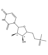 C=C1NC(=O)C=CN1C1OC(CCP(=C)(C)C)[C@@H](O)[C@H]1I